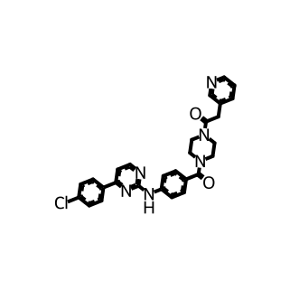 O=C(Cc1cccnc1)N1CCN(C(=O)c2ccc(Nc3nccc(-c4ccc(Cl)cc4)n3)cc2)CC1